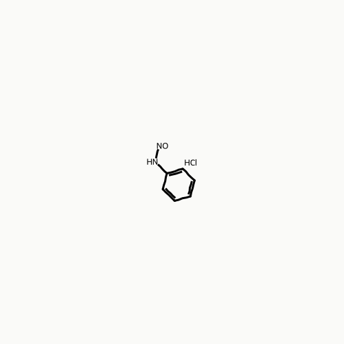 Cl.O=NNc1ccccc1